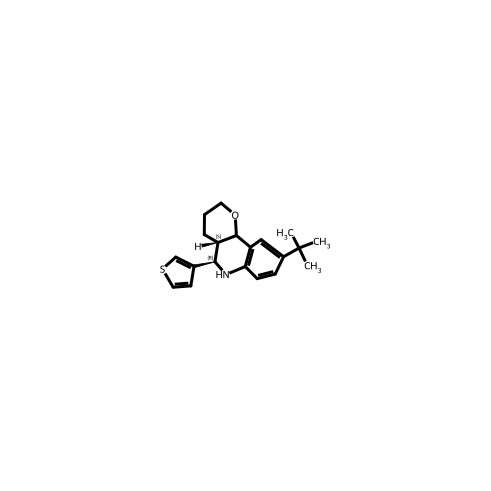 CC(C)(C)c1ccc2c(c1)C1OCCC[C@H]1[C@H](c1ccsc1)N2